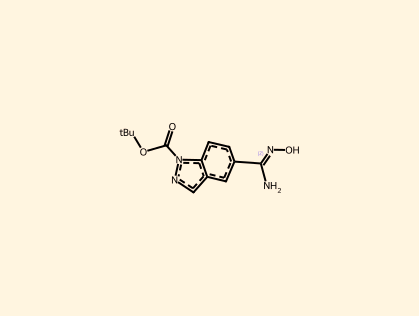 CC(C)(C)OC(=O)n1ncc2cc(/C(N)=N/O)ccc21